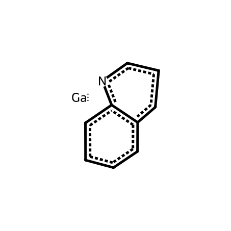 [Ga].c1ccc2ncccc2c1